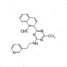 O=Cc1c(-c2nc(NCCc3cccnc3)nc(C(Cl)(Cl)Cl)n2)ccc2ccccc12